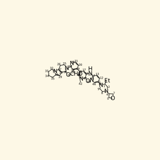 CCC1CN(C2COC2)CCN1c1ccc(Nc2cc(-c3ccnc(N4CCc5c(cc6n5CCCC6)C4=O)c3C=O)cn(C)c2=O)nc1